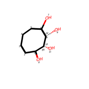 OC1CCCCC(O)[C@H](O)[C@@H]1O